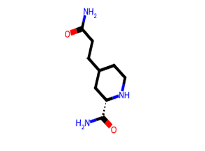 NC(=O)C[CH]C1CCN[C@H](C(N)=O)C1